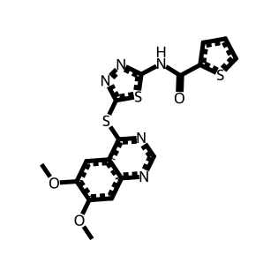 COc1cc2ncnc(Sc3nnc(NC(=O)c4cccs4)s3)c2cc1OC